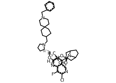 CC(C)(C)OC(=O)N1C2CCC1CN(c1nc(OC[C@@H]3CCCN3CC3CCC4(CC3)CCN(Cc3ccccc3)CC4)nc3c(F)c(Cl)ncc13)C2